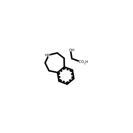 O=C(O)CO.c1ccc2c(c1)CCNCC2